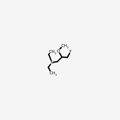 CCN(CC)CC(CF)OC